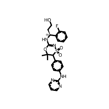 CC1(C)OC(N[C@@H](CCO)c2ccccc2F)=NS(=O)(=O)C1c1ccc(Nc2ncccn2)cc1